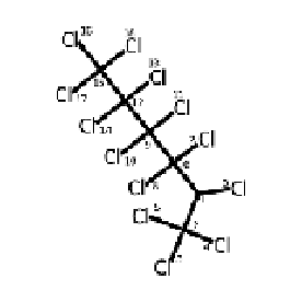 Cl[C](C(Cl)(Cl)Cl)C(Cl)(Cl)C(Cl)(Cl)C(Cl)(Cl)C(Cl)(Cl)Cl